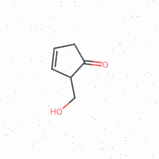 O=C1CC=CC1CO